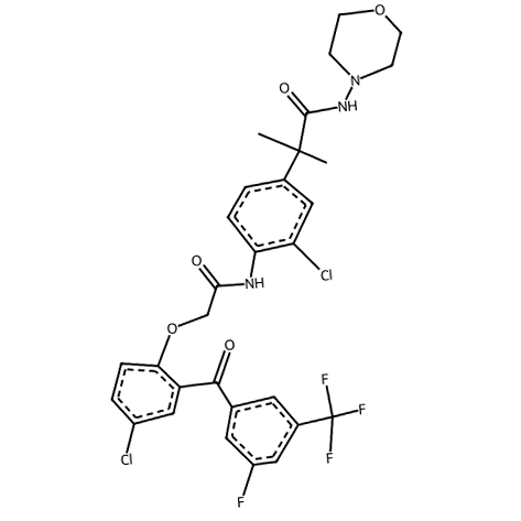 CC(C)(C(=O)NN1CCOCC1)c1ccc(NC(=O)COc2ccc(Cl)cc2C(=O)c2cc(F)cc(C(F)(F)F)c2)c(Cl)c1